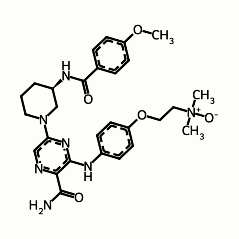 COc1ccc(C(=O)N[C@@H]2CCCN(c3cnc(C(N)=O)c(Nc4ccc(OCC[N+](C)(C)[O-])cc4)n3)C2)cc1